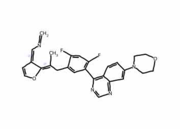 C=N/C=c1/cco/c1=C(/C)Cc1cc(-c2ncnc3cc(N4CCOCC4)ccc23)c(F)cc1F